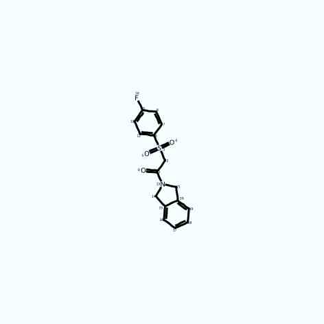 O=C(CS(=O)(=O)c1ccc(F)cc1)N1Cc2ccccc2C1